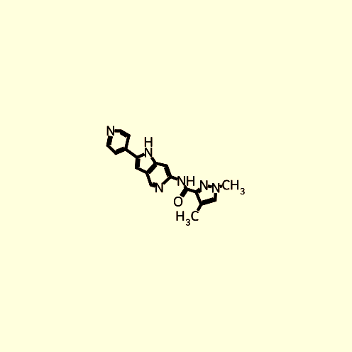 Cc1cn(C)nc1C(=O)Nc1cc2[nH]c(-c3ccncc3)cc2cn1